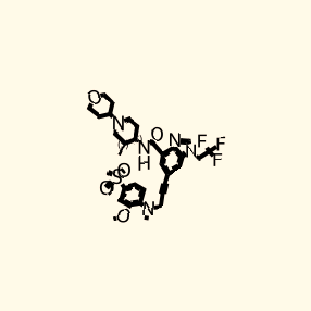 COc1cc(S(C)(=O)=O)ccc1N(C)CC#Cc1cc(C(=O)N[C@H]2CCN(C3CCOCC3)C[C@@H]2C)c2ncn(CC(F)(F)F)c2c1